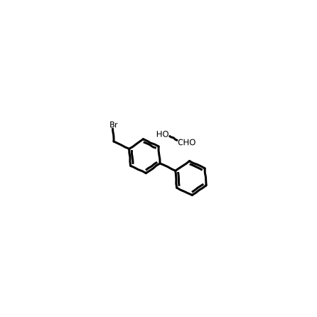 BrCc1ccc(-c2ccccc2)cc1.O=CO